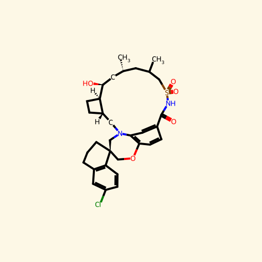 CC1C[C@@H](C)C[C@H](O)[C@@H]2CC[C@H]2CN2C[C@@]3(CCCc4cc(Cl)ccc43)COc3ccc(cc32)C(=O)NS(=O)(=O)C1